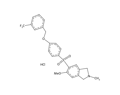 COc1cc2c(cc1S(=O)(=O)c1ccc(OCc3cccc(C(F)(F)F)c3)cc1)CN(C)C2.Cl